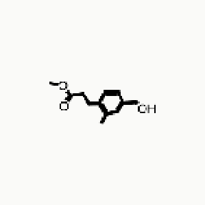 COC(=O)CCc1ccc(CO)cc1C